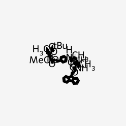 CON(CCN(C)C(=O)OC(C)(C)C)C(=O)OCc1ccc(NC(=O)[C@H](C)NC(=O)[C@H](C)NC(=O)OCC2c3ccccc3-c3ccccc32)cc1